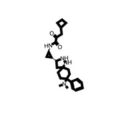 CN(C)C1(c2ccccc2)CCC2(CC1)CC([C@@H]1C[C@@H]1NC(=O)C(=O)CC1CCC1)NN2